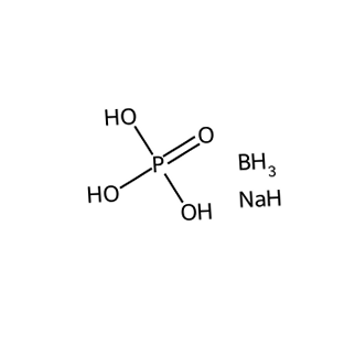 B.O=P(O)(O)O.[NaH]